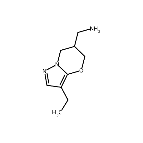 CCc1cnn2c1OCC(CN)C2